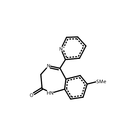 CSc1ccc2c(c1)C(c1ccccn1)=NCC(=O)N2